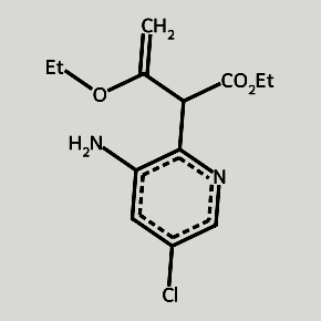 C=C(OCC)C(C(=O)OCC)c1ncc(Cl)cc1N